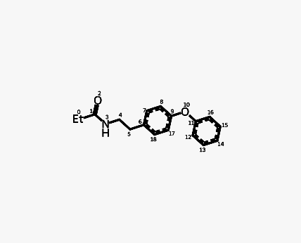 CCC(=O)NCCc1ccc(Oc2ccccc2)cc1